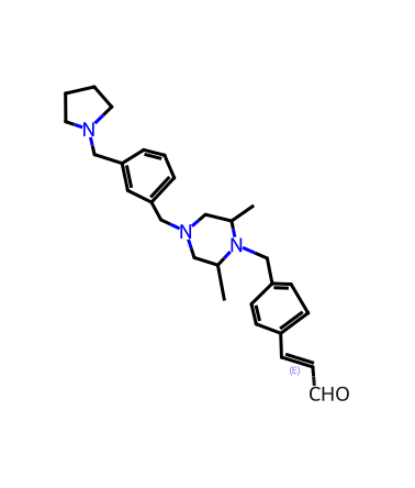 CC1CN(Cc2cccc(CN3CCCC3)c2)CC(C)N1Cc1ccc(/C=C/C=O)cc1